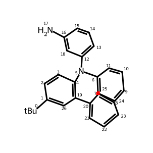 CC(C)(C)c1ccc(N(c2ccccc2)c2cccc(N)c2)c(-c2ccccc2)c1